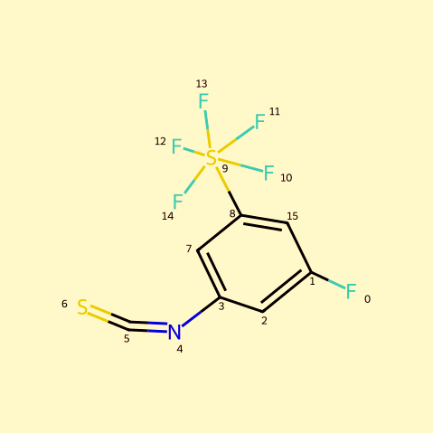 Fc1cc(N=C=S)cc(S(F)(F)(F)(F)F)c1